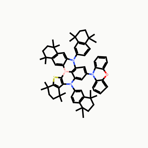 CC1(C)CCC(C)(C)c2cc(N3c4cc5c(cc4B4c6sc7c(c6N(c6ccc8c(c6)C(C)(C)CCC8(C)C)c6cc(N8c9ccccc9Oc9ccccc98)cc3c64)C(C)(C)CCC7(C)C)C(C)(C)CCC5(C)C)ccc21